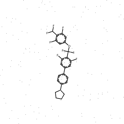 Fc1cc(OC(F)(F)c2c(F)cc(-c3ccc(C4CCCC4)cc3)cc2F)cc(F)c1C(F)F